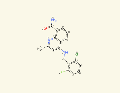 Cc1cc(NCc2c(F)cccc2Cl)c2cccc(C(N)=O)c2n1